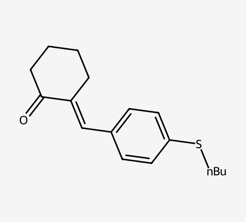 CCCCSc1ccc(C=C2CCCCC2=O)cc1